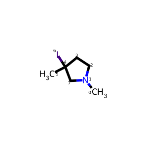 CN1CCC(C)(I)C1